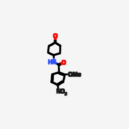 COc1cc([N+](=O)[O-])ccc1C(=O)NC1CCC(=O)CC1